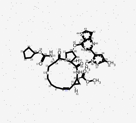 COC(=O)[C@@]12C[C@H]1/C=C\CCCCC[C@H](NC(=O)OC1CCCC1)C(=O)N1C[C@H](Oc3nc(-c4cc(C)nn4C)nc4ccsc34)C[C@H]1C(=O)N2